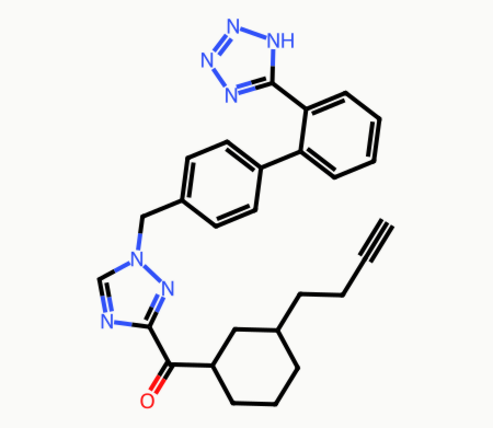 C#CCCC1CCCC(C(=O)c2ncn(Cc3ccc(-c4ccccc4-c4nnn[nH]4)cc3)n2)C1